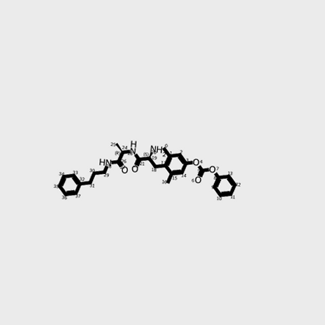 Cc1cc(OC(=O)Oc2ccccc2)cc(C)c1C[C@H](N)C(=O)N[C@H](C)C(=O)NCCCc1ccccc1